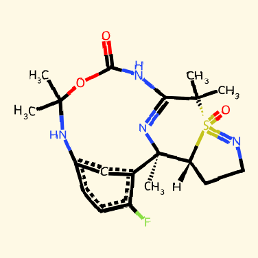 CC1(C)Nc2ccc(F)c(c2)[C@@]2(C)N=C(NC(=O)O1)C(C)(C)[S@]1(=O)=NCC[C@H]21